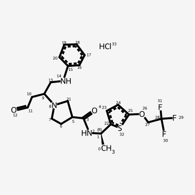 C[C@@H](NC(=O)C1CCN(C(CC=O)CNc2ccccc2)C1)c1ccc(OCC(F)(F)F)s1.Cl